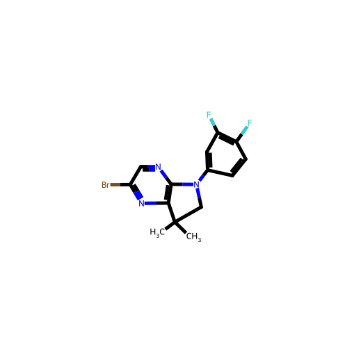 CC1(C)CN(c2ccc(F)c(F)c2)c2ncc(Br)nc21